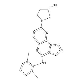 Cc1cccc(C)c1Nc1nc2ccc(N3CC[C@H](O)C3)nc2n2cncc12